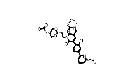 CSc1ncc2cc(-c3ccc(-c4cccc(C)n4)cc3Cl)c(=O)n(CC[C@H]3OC[C@@H](NC(=O)O)CO3)c2n1